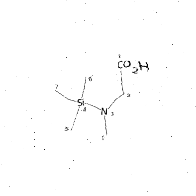 CN(CC(=O)O)[Si](C)(C)C